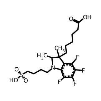 CC1N(CCCCS(=O)(=O)O)c2c(F)c(F)c(F)c(F)c2C1(C)CCCCCC(=O)O